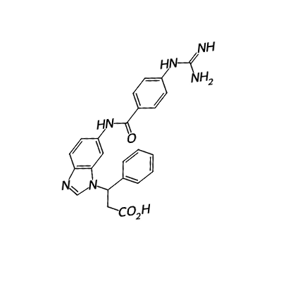 N=C(N)Nc1ccc(C(=O)Nc2ccc3ncn(C(CC(=O)O)c4ccccc4)c3c2)cc1